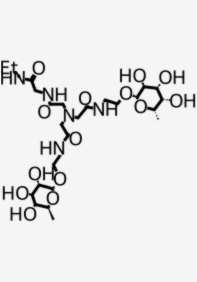 CCNC(=O)CNC(=O)CN(CC(=O)NCCO[C@@H]1O[C@@H](C)[C@@H](O)[C@@H](O)[C@@H]1O)CC(=O)NCCO[C@@H]1O[C@@H](C)[C@@H](O)[C@@H](O)[C@@H]1O